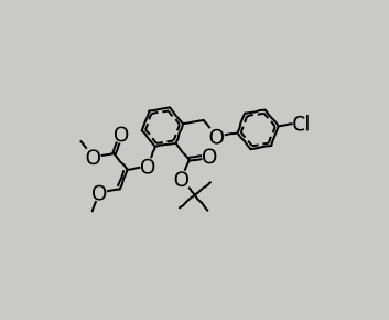 COC=C(Oc1cccc(COc2ccc(Cl)cc2)c1C(=O)OC(C)(C)C)C(=O)OC